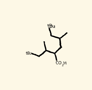 CC(CC(C(=O)O)C(C)CC(C)(C)C)CC(C)(C)C